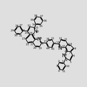 c1ccc(-c2ccc3ccc4ccc(-c5ccc(-c6ccc7ccc8c(-c9ccccc9)cc(-c9ccccc9)nc8c7n6)cc5)nc4c3n2)cc1